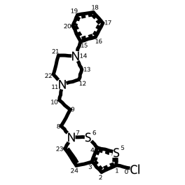 Clc1cc2c(s1)SN(CCCN1CCN(c3ccccc3)CC1)C=C2